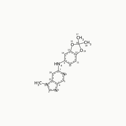 Cn1cnc2cnc(Nc3ccc4c(c3)OC(C)(C)O4)cc21